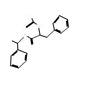 CCC(=O)NC(Cc1ccccc1)C(=O)NC(C)c1ccccc1